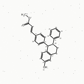 COC(=O)C=Cc1ccc(C2c3ccc(O)cc3CCN2c2ccccc2)cc1